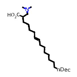 CCCCCCCCCCCCCCCCCC=CCCCCC(CN(C)C)C(=O)O